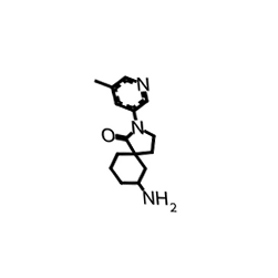 Cc1cncc(N2CCC3(CCCC(N)C3)C2=O)c1